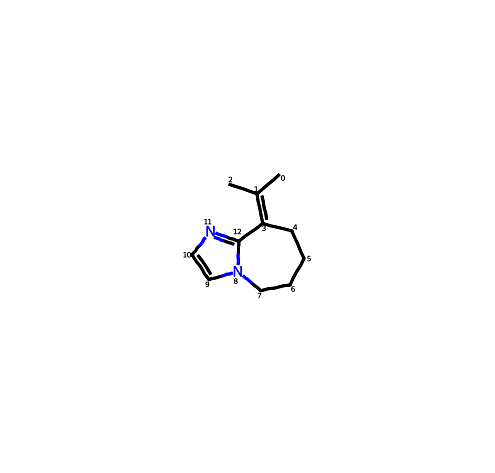 CC(C)=C1CCCCn2ccnc21